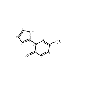 Cc1ccc(=O)n(-c2ccco2)c1